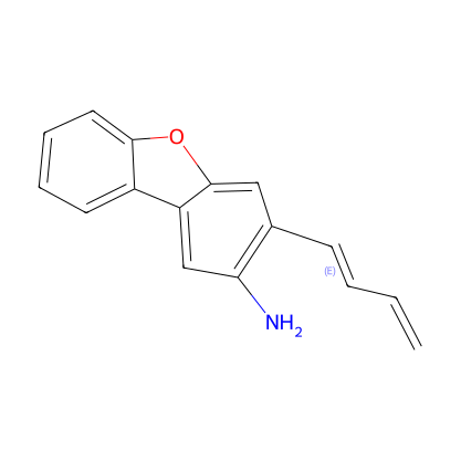 C=C/C=C/c1cc2oc3ccccc3c2cc1N